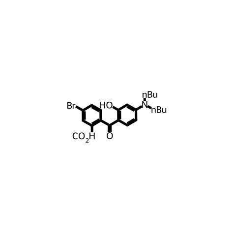 CCCCN(CCCC)c1ccc(C(=O)c2ccc(Br)cc2C(=O)O)c(O)c1